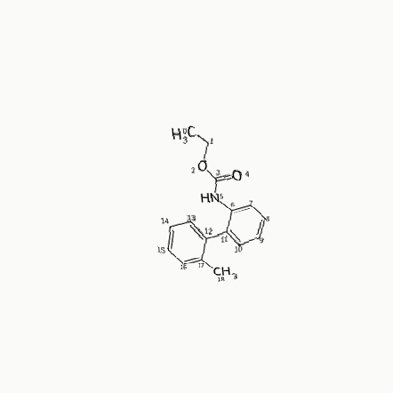 CCOC(=O)Nc1ccccc1-c1ccccc1C